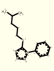 CC(C)CCCSc1nnnn1-c1ccccc1